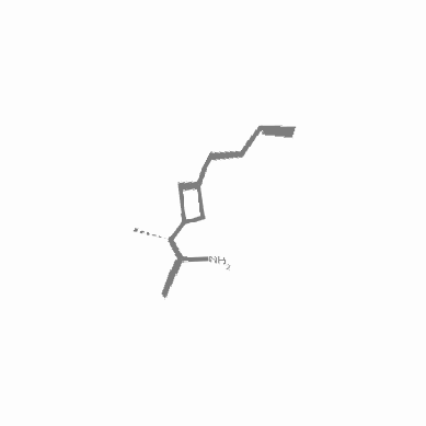 C=CCCC1CC([C@@H](C)C(C)N)C1